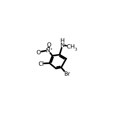 CNc1cc(Br)cc(Cl)c1[N+](=O)[O-]